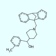 Cc1cccc(C(O)C2CCN(CC34CC(c5ccccc53)c3ccccc34)CC2)c1